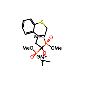 COP(=O)(OC)C(CC1CCSc2ccccc21)(O[Si](C)(C)C)P(=O)(OC)OC